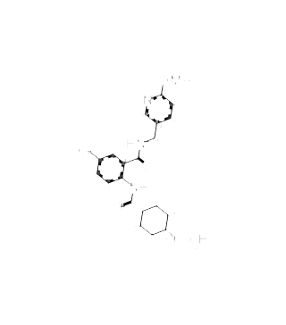 COc1ccc(CNC(=O)c2cc(Cl)ccc2NC(=O)[C@H]2CC[C@H](C(=O)O)CC2)cn1